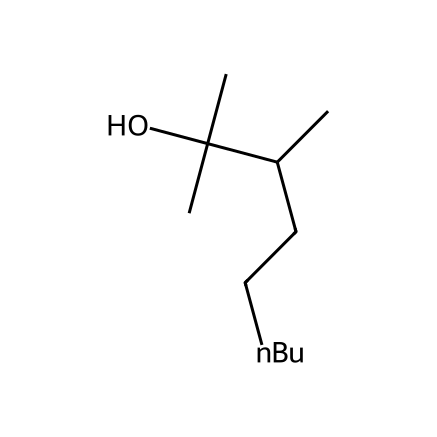 CCCCCCC(C)C(C)(C)O